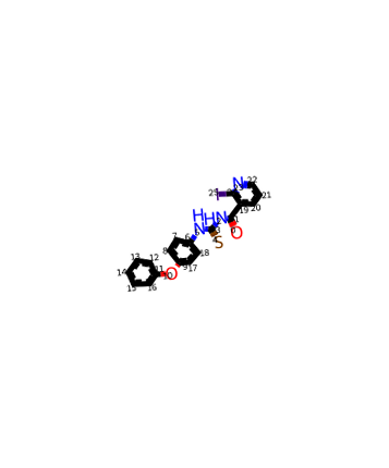 O=C(NC(=S)Nc1ccc(Oc2ccccc2)cc1)c1cccnc1I